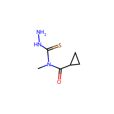 CN(C(=O)C1CC1)C(=S)NN